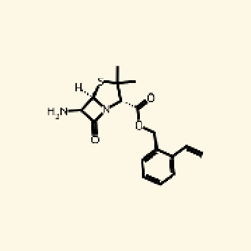 C=Cc1ccccc1COC(=O)[C@@H]1N2C(=O)C(N)[C@H]2SC1(C)C